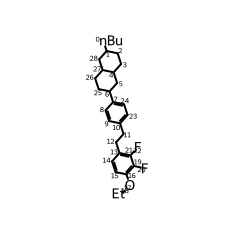 CCCCC1CCC2CC(c3ccc(CCc4ccc(OCC)c(F)c4F)cc3)CCC2C1